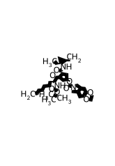 C=CCCCCC[C@H](NC(=O)OC(C)(C)C)C(=O)C1C[C@H](OC(=O)N2Cc3cc4c(cc3C2)OCCO4)C[C@H]1C(=O)N[C@]1(CC)C[C@H]1C=C